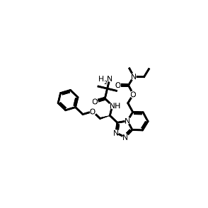 CCN(C)C(=O)OCc1cccc2nnc([C@@H](COCc3ccccc3)NC(=O)C(C)(C)N)n12